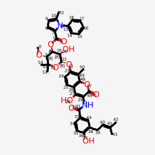 CO[C@@H]1[C@@H](OC(=O)c2ccc(C)n2-c2ccccc2)[C@@H](O)[C@H](Oc2ccc3c(O)c(NC(=O)c4ccc(O)c(CC=C(C)C)c4)c(=O)oc3c2C)OC1(C)C